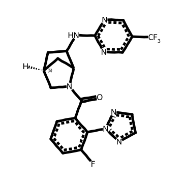 O=C(c1cccc(F)c1-n1nccn1)N1C[C@H]2CC(Nc3ncc(C(F)(F)F)cn3)C1C2